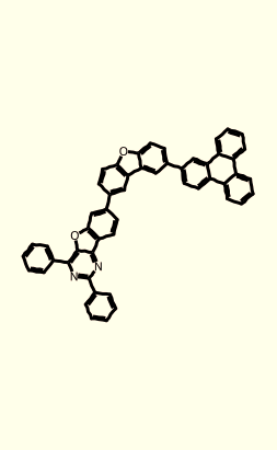 c1ccc(-c2nc(-c3ccccc3)c3oc4cc(-c5ccc6oc7ccc(-c8ccc9c%10ccccc%10c%10ccccc%10c9c8)cc7c6c5)ccc4c3n2)cc1